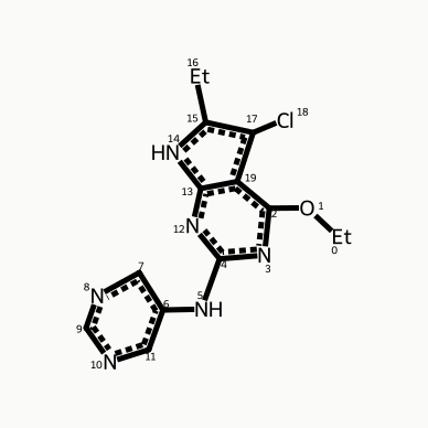 CCOc1nc(Nc2cncnc2)nc2[nH]c(CC)c(Cl)c12